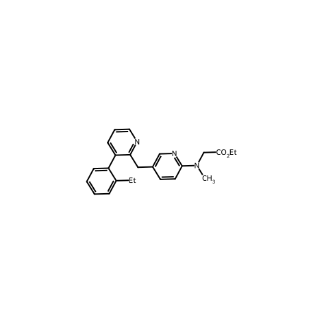 CCOC(=O)CN(C)c1ccc(Cc2ncccc2-c2ccccc2CC)cn1